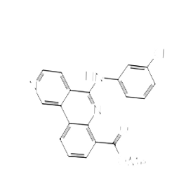 COC(=O)c1cccc2c1nc(Nc1cccc(Cl)c1)c1ccncc12